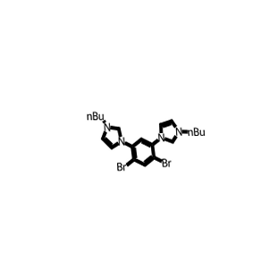 CCCCN1C=CN(c2cc(N3C=CN(CCCC)C3)c(Br)cc2Br)C1